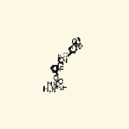 CCS(=O)(=O)N1CCC(COc2ncc(-c3cccc(COC(=O)NC(=N)N)c3F)cn2)CC1